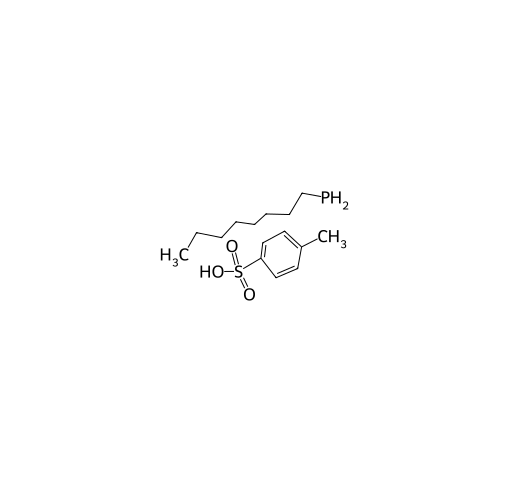 CCCCCCCCP.Cc1ccc(S(=O)(=O)O)cc1